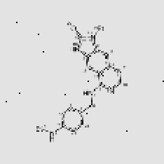 CCNc1ccc(CNc2ncnc3cc4c(cc23)[nH]c(=O)n4CC)cc1